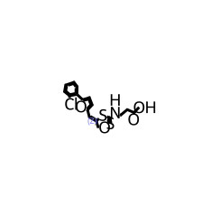 O=C/C(=C/c1ccc(-c2ccccc2Cl)o1)SC(=S)NCCC(=O)O